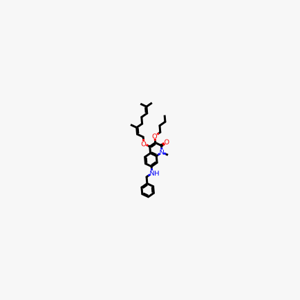 CCCCOc1c(OCC=C(C)CCC=C(C)C)c2ccc(NCc3ccccc3)cc2n(C)c1=O